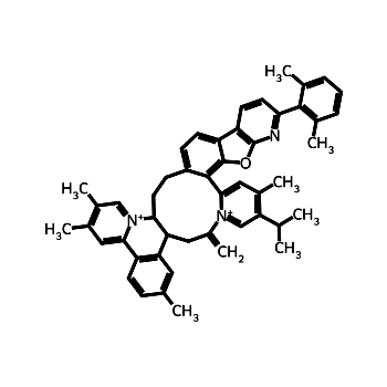 C=C1CC2c3cc(C)ccc3-c3cc(C)c(C)c[n+]3C2CCc2ccc3c(oc4nc(-c5c(C)cccc5C)ccc43)c2-c2cc(C)c(C(C)C)c[n+]21